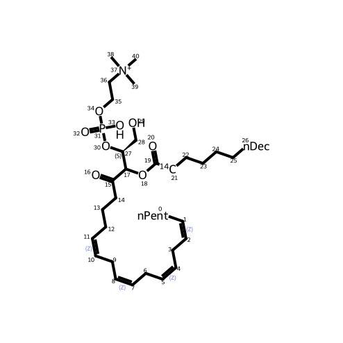 CCCCC/C=C\C/C=C\C/C=C\C/C=C\CCCC(=O)C(OC(=O)[14CH2]CCCCCCCCCCCCCC)[C@H](CO)OP(=O)(O)OCC[N+](C)(C)C